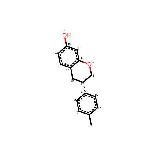 Cc1ccc([C@H]2COc3cc(O)ccc3C2)cc1